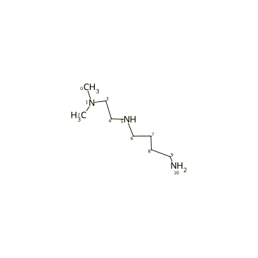 CN(C)CCNCCCCN